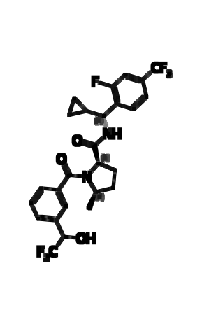 C[C@@H]1CC[C@H](C(=O)N[C@@H](c2ccc(C(F)(F)F)cc2F)C2CC2)N1C(=O)c1cccc(C(O)C(F)(F)F)c1